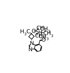 CC(C)(C)[Si](C)(C)O[C@]1(C)C[C@H](n2cnc3cccc(C=O)c32)C1